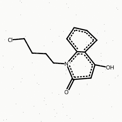 O=c1cc(O)c2ccccc2n1CCCCCl